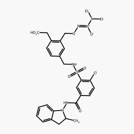 CCN(CC)[N+]([O-])=NOCc1cc(CNS(=O)(=O)c2cc(C(=O)NN3c4ccccc4CC3C)ccc2Cl)ccc1CC(=O)O